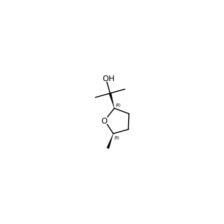 C[C@@H]1CC[C@H](C(C)(C)O)O1